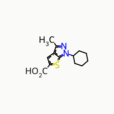 Cc1nn(C2CCCCC2)c2sc(C(=O)O)cc12